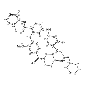 CCCN1CCN(C(=O)c2ccc(Oc3nc(Nc4ccc(OCCCN5CCCCC5)c(F)c4)ncc3C(=O)Nc3c(C)cccc3C)c(OC)c2)CC1